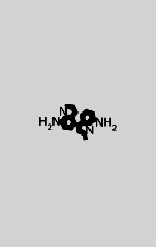 Cc1ccc2cccc(N)c2n1.Nc1cccc2cccnc12